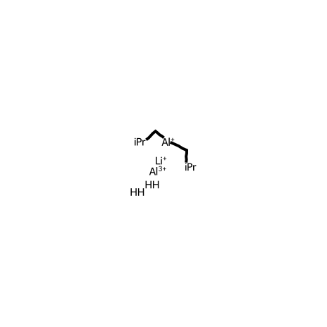 CC(C)[CH2][Al+][CH2]C(C)C.[Al+3].[HH].[HH].[Li+]